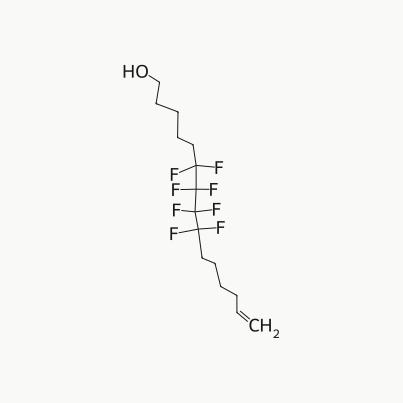 C=CCCCCC(F)(F)C(F)(F)C(F)(F)C(F)(F)CCCCCO